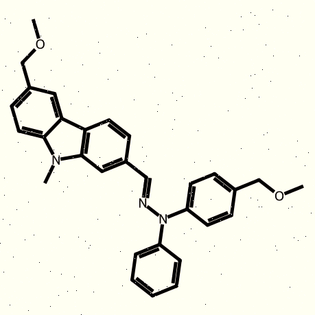 COCc1ccc(N(N=Cc2ccc3c4cc(COC)ccc4n(C)c3c2)c2ccccc2)cc1